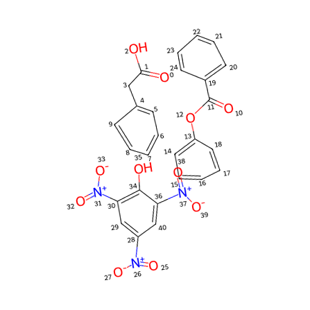 O=C(O)Cc1ccccc1.O=C(Oc1ccccc1)c1ccccc1.O=[N+]([O-])c1cc([N+](=O)[O-])c(O)c([N+](=O)[O-])c1